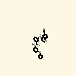 N#Cc1ccc2nccc(Nc3cccc(C(=O)Nc4cccc(Oc5ccccc5)c4)c3)c2c1